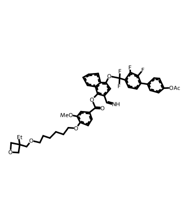 CCC1(COCCCCCCOc2ccc(C(=O)Oc3c(C=N)cc(OC(F)(F)c4ccc(-c5ccc(OC(C)=O)cc5)c(F)c4F)c4ccccc34)cc2OC)COC1